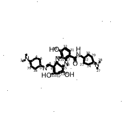 CN(C)C1CCC(N=Cc2c(O)cc(O)c3nc4c(C(=O)NC5CCC(N(C)C)CC5)ccc(O)c4nc23)CC1